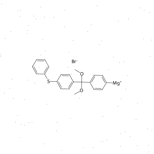 COC(OC)(c1cc[c]([Mg+])cc1)c1ccc(Sc2ccccc2)cc1.[Br-]